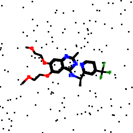 COCCOc1cc2nc(C)nc(N[C@H](C)c3cc(C(F)(F)F)ccn3)c2cc1OCCOC